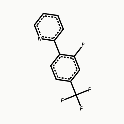 Fc1cc(C(F)(F)F)ccc1-c1ccccn1